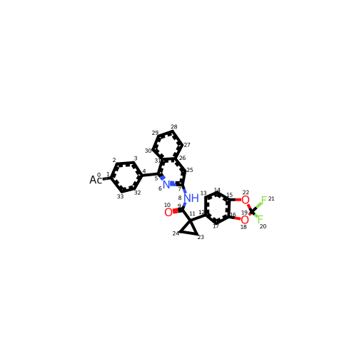 CC(=O)c1ccc(-c2nc(NC(=O)C3(c4ccc5c(c4)OC(F)(F)O5)CC3)cc3ccccc23)cc1